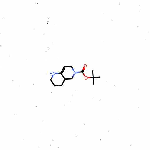 CC(C)(C)OC(=O)N1CC=C2NCCCC2C1